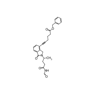 CC(CCC(=O)NC=O)N1Cc2c(C#CCCCC(=O)OCc3ccccc3)cccc2C1=O